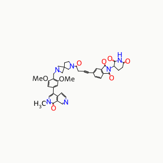 COc1cc(-c2cn(C)c(=O)c3cnccc23)cc(OC)c1CN1CC2(CCN(C(=O)CC#Cc3ccc4c(c3)C(=O)N(C3CCC(=O)NC3=O)C4=O)C2)C1